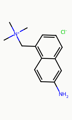 C[N+](C)(C)Cc1cccc2cc(N)ccc12.[Cl-]